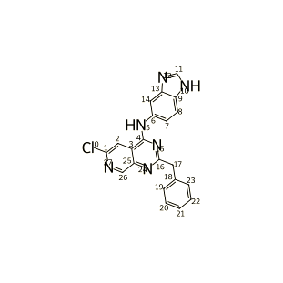 Clc1cc2c(Nc3ccc4[nH]cnc4c3)nc(Cc3ccccc3)nc2cn1